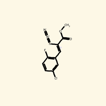 COC(=O)/C(=C/c1cc(Cl)ccc1F)N=[N+]=[N-]